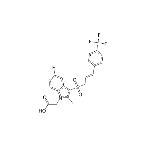 Cc1c(S(=O)(=O)CC=Cc2ccc(C(F)(F)F)cc2)c2cc(F)ccc2n1CC(=O)O